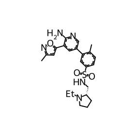 CCN1CCC[C@H]1CNS(=O)(=O)c1ccc(C)c(-c2cnc(N)c(-c3cc(C)no3)c2)c1